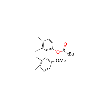 COc1ccc(C)c(C)c1-c1c(OC(=O)C(C)(C)C)ccc(C)c1C